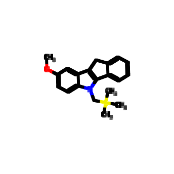 COc1ccc2c(c1)c1c(n2CS(C)(C)C)-c2ccccc2C1